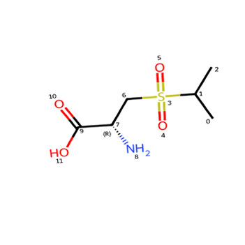 CC(C)S(=O)(=O)C[C@H](N)C(=O)O